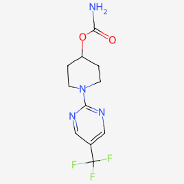 NC(=O)OC1CCN(c2ncc(C(F)(F)F)cn2)CC1